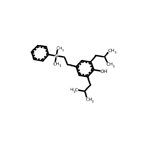 CC(C)Cc1cc(CC[Si](C)(C)c2ccccc2)cc(CC(C)C)c1O